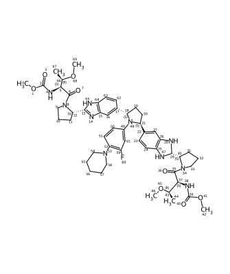 COC(=O)N[C@H](C(=O)N1CCC[C@H]1c1nc2cc([C@@H]3CC[C@@H](c4ccc5c(c4)NC([C@@H]4CCCN4C(=O)[C@@H](NC(=O)OC)[C@@H](C)OC)N5)N3c3ccc(N4CCCCC4)c(F)c3)ccc2[nH]1)[C@@H](C)OC